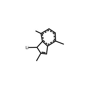 [Li][CH]1C(C)=Cc2c(C)ccc(C)c21